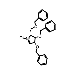 [O-][N+]1=C[C@@H](OCc2ccccc2)[C@H](OCc2ccccc2)[C@H]1COCc1ccccc1